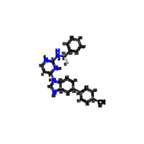 C[C@H](Nc1nccc(-n2cnc3cc(-c4ccc(C#N)cc4)ccc32)n1)c1ccccc1